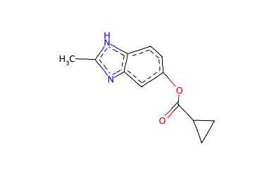 Cc1nc2cc(OC(=O)C3CC3)ccc2[nH]1